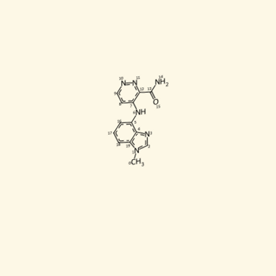 Cn1cnc2c(Nc3ccnnc3C(N)=O)cccc21